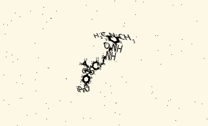 Cc1cc(NC(=O)NCCN2CCC(N(C3CC3)S(=O)(=O)c3ccc(OC(C)C)cc3)CC2)cc(C)n1